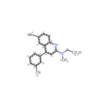 CCCCc1ccc2nc(N(C)CC(=O)O)cc(-c3cccc(C#N)c3)c2c1